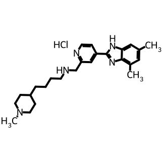 Cc1cc(C)c2nc(-c3ccnc(CNCCCCC4CCN(C)CC4)c3)[nH]c2c1.Cl